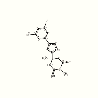 CN1C(=N)N[C@@](C)(c2cc(-c3cc(F)cc(C#N)c3)cs2)CC1=O